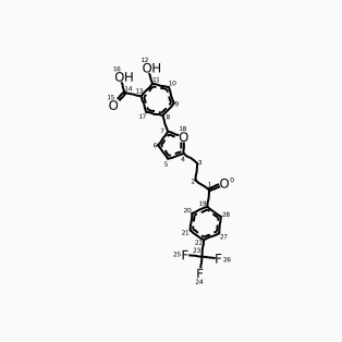 O=C(CCc1ccc(-c2ccc(O)c(C(=O)O)c2)o1)c1ccc(C(F)(F)F)cc1